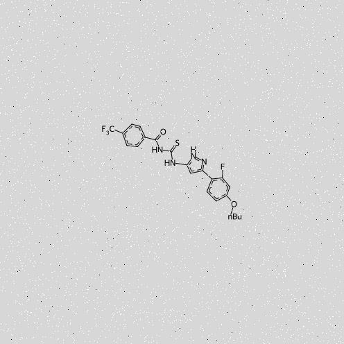 CCCCOc1ccc(-c2cc(NC(=S)NC(=O)c3ccc(C(F)(F)F)cc3)[nH]n2)c(F)c1